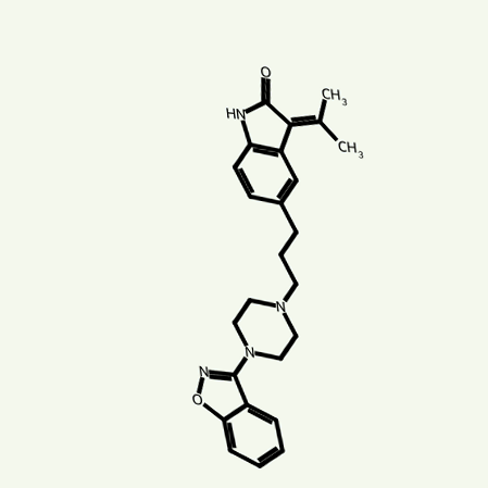 CC(C)=C1C(=O)Nc2ccc(CCCN3CCN(c4noc5ccccc45)CC3)cc21